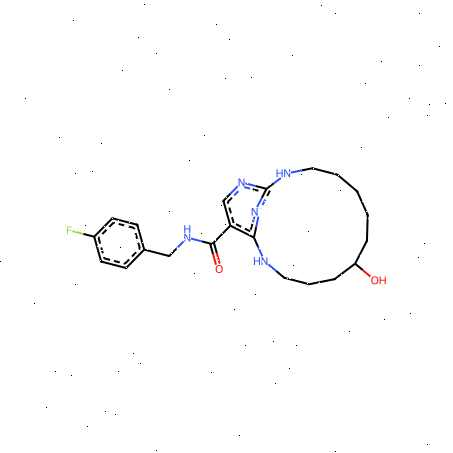 O=C(NCc1ccc(F)cc1)c1cnc2nc1NCCCC(O)CCCCCN2